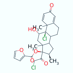 C[C@@H]1CC2C3CCC4=CC(=O)C=CC4(C)[C@@]3(Cl)C(O)CC2(C)[C@@]1(OC(=O)c1ccco1)C(=O)CCl